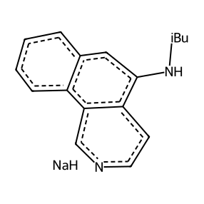 CCC(C)Nc1cc2ccccc2c2cnccc12.[NaH]